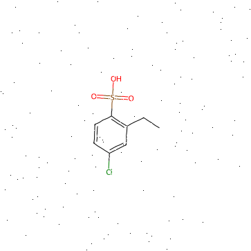 CCc1cc(Cl)ccc1S(=O)(=O)O